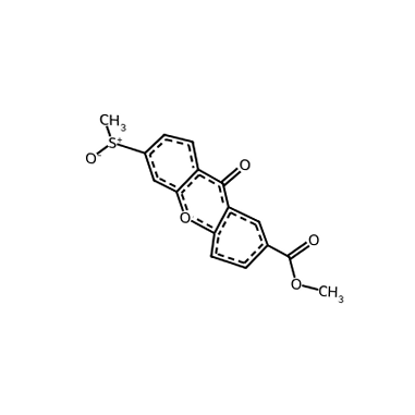 COC(=O)c1ccc2oc3cc([S+](C)[O-])ccc3c(=O)c2c1